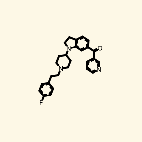 O=C(c1cccnc1)c1ccc2c(c1)N(C1CCN(CCc3ccc(F)cc3)CC1)CC2